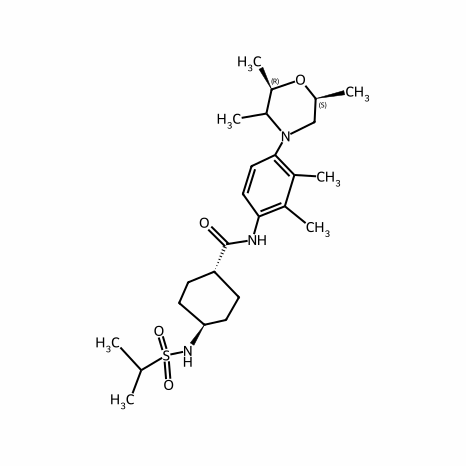 Cc1c(NC(=O)[C@H]2CC[C@H](NS(=O)(=O)C(C)C)CC2)ccc(N2C[C@H](C)O[C@H](C)C2C)c1C